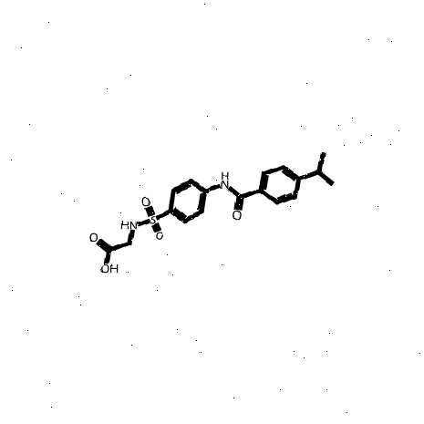 CC(C)c1ccc(C(=O)Nc2ccc(S(=O)(=O)NCC(=O)O)cc2)cc1